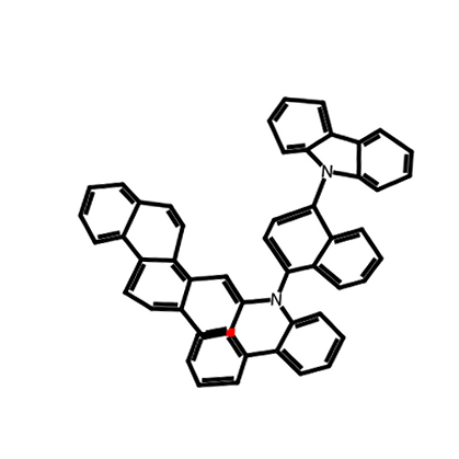 c1ccc(-c2ccccc2N(c2ccc3ccc4c5ccccc5ccc4c3c2)c2ccc(-n3c4ccccc4c4ccccc43)c3ccccc23)cc1